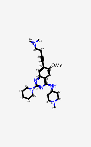 COc1cc2c(NC3CCN(C)CC3)nc(N3CCCCC3)nc2cc1C#CCCN(C)C